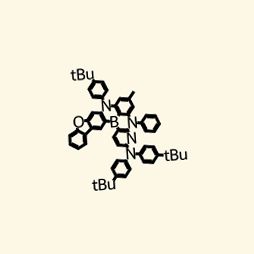 Cc1cc2c3c(c1)N(c1ccccc1)c1nc(N(c4ccc(C(C)(C)C)cc4)c4ccc(C(C)(C)C)cc4)ccc1B3c1cc3c(cc1N2c1ccc(C(C)(C)C)cc1)oc1ccccc13